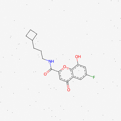 O=C(NCCCC1CCC1)c1cc(=O)c2cc(F)cc(O)c2o1